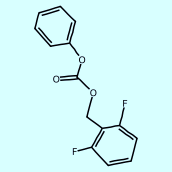 O=C(OCc1c(F)cccc1F)Oc1ccccc1